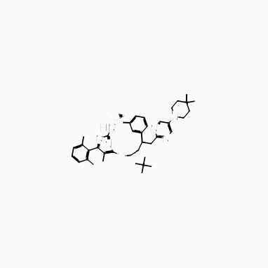 Cc1cccc(C)c1-c1nc2nc(c1C)OC[C@@H](CC(C)(C)C)C(Cc1ncc(N3CCC(C)(C)CC3)cn1)c1cccc(c1)S(=O)(=O)N2